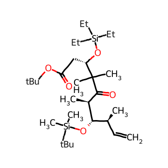 C=C[C@H](C)[C@H](O[Si](C)(C)C(C)(C)C)[C@@H](C)C(=O)C(C)(C)[C@H](CC(=O)OC(C)(C)C)O[Si](CC)(CC)CC